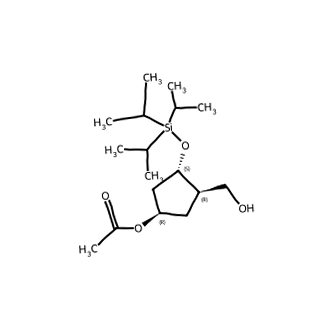 CC(=O)O[C@@H]1C[C@H](CO)[C@@H](O[Si](C(C)C)(C(C)C)C(C)C)C1